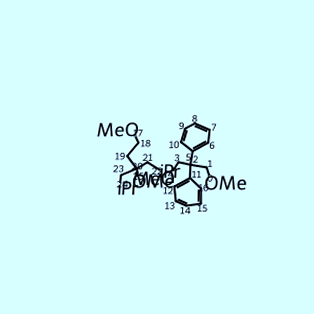 COCC(COC)(c1ccccc1)c1ccccc1.COCCC(CC(C)C)(CC(C)C)OC